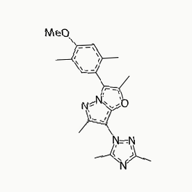 COc1cc(C)c(-c2c(C)oc3c(-n4nc(C)nc4C)c(C)nn23)cc1C